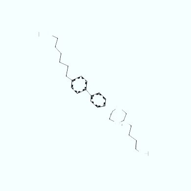 CCCCCCCc1ccc(-c2ccc([C@H]3CO[C@H](CCCCC)CO3)cc2)cc1